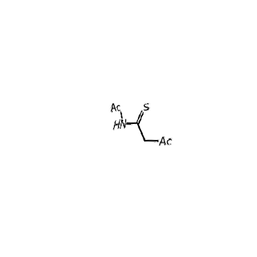 CC(=O)CC(=S)NC(C)=O